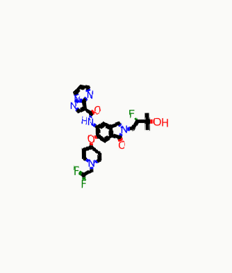 CC(C)(O)[C@H](F)CN1Cc2cc(NC(=O)c3cnn4cccnc34)c(OC3CCN(CC(F)F)CC3)cc2C1=O